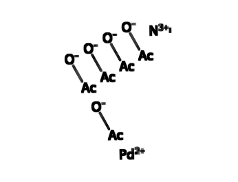 CC(=O)[O-].CC(=O)[O-].CC(=O)[O-].CC(=O)[O-].CC(=O)[O-].[N+3].[Pd+2]